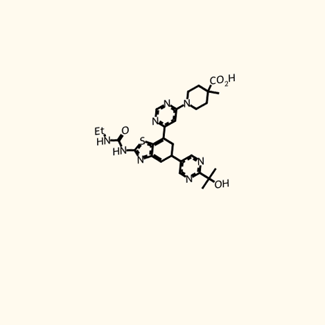 CCNC(=O)Nc1nc2c(s1)=C(c1cc(N3CCC(C)(C(=O)O)CC3)ncn1)CC(c1cnc(C(C)(C)O)nc1)C=2